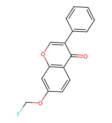 O=c1c(-c2ccccc2)coc2cc(OCF)ccc12